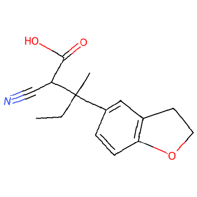 CCC(C)(c1ccc2c(c1)CCO2)C(C#N)C(=O)O